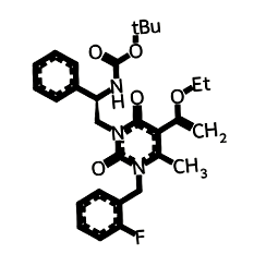 C=C(OCC)c1c(C)n(Cc2ccccc2F)c(=O)n(C[C@H](NC(=O)OC(C)(C)C)c2ccccc2)c1=O